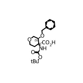 CC(C)(C)OC(=O)N[C@@]1(C(=O)O)CCOC[C@H]1OCc1ccccc1